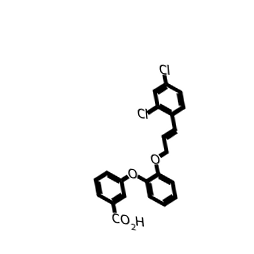 O=C(O)c1cccc(Oc2ccccc2OCC=Cc2ccc(Cl)cc2Cl)c1